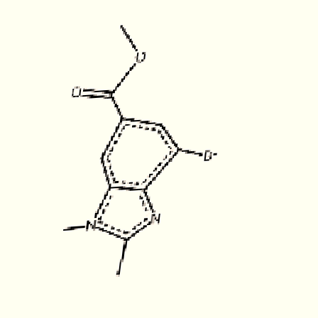 COC(=O)c1cc(Br)c2nc(C)n(C)c2c1